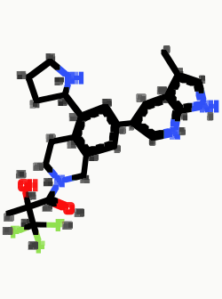 Cc1c[nH]c2ncc(-c3cc4c(c(C5CCCN5)c3)CCN(C(=O)C(C)(O)C(F)(F)F)C4)cc12